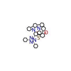 c1ccc(-c2nc(-c3ccccc3)nc(-c3cc(-n4c5ccccc5c5ccc6c7ccccc7n(-c7ccccc7)c6c54)cc4c3sc3ccc5oc6ccccc6c5c34)n2)cc1